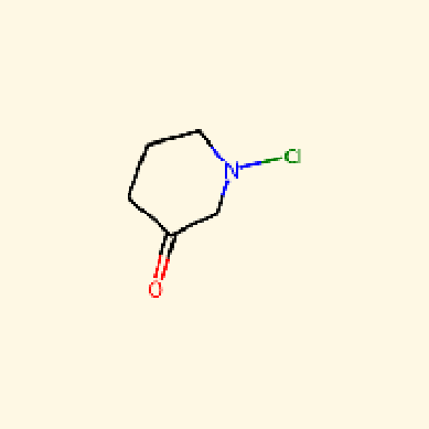 O=C1CCCN(Cl)C1